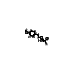 COc1ccc(CCONC(C)=O)cc1